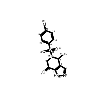 CC(C)C1c2cn[nH]c2C(=O)CN1S(=O)(=O)c1ccc(Cl)cc1